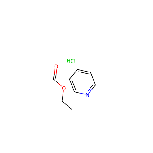 CCOC=O.Cl.c1ccncc1